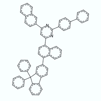 c1ccc(-c2ccc(-c3nc(-c4ccc5ccccc5c4)cc(-c4ccc(-c5ccc6c(c5)C(c5ccccc5)(c5ccccc5)c5ccccc5-6)c5ccccc45)n3)cc2)cc1